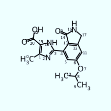 Cc1nc(-c2cc(OC(C)C)cc3c2C(=O)NC3)[nH]c1C(=O)O